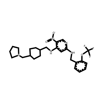 O=[N+]([O-])c1cnc(NCc2ccccc2OC(F)(F)F)cc1NCC1CCC(CN2CCCC2)CC1